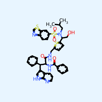 CC(C)CN(C(CO)c1ccc(CNC(=O)C(NC(=O)c2ccccc2)C(c2ccccc2)c2c[nH]c3ncccc23)s1)S(=O)(=O)c1ccc2ncsc2c1